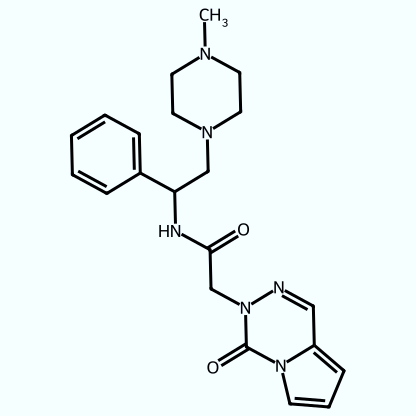 CN1CCN(CC(NC(=O)Cn2ncc3cccn3c2=O)c2ccccc2)CC1